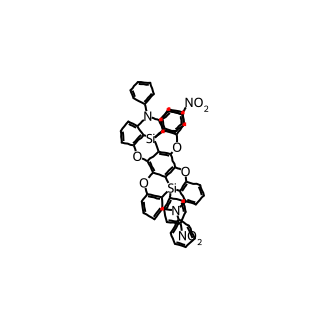 O=[N+]([O-])c1ccc([Si]23c4c5cccc4N(c4ccccc4)c4cccc(c42)Oc2c4c6c(c(c23)O5)Oc2cccc3c2[Si]6(c2ccc([N+](=O)[O-])cc2)c2c(cccc2N3c2ccccc2)O4)cc1